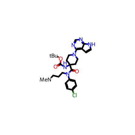 CNCCCN(C(=O)C1(NC(=O)OC(C)(C)C)CCN(c2ncnc3[nH]ccc23)CC1)c1ccc(Cl)cc1